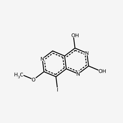 COc1ncc2c(O)nc(O)nc2c1I